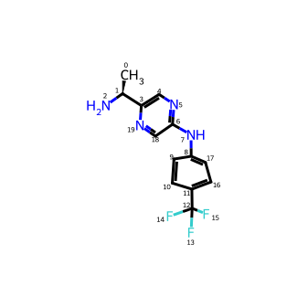 C[C@H](N)c1cnc(Nc2ccc(C(F)(F)F)cc2)cn1